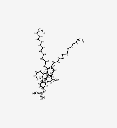 CCCCCCCCCCCCc1cccc(C2CCCCC2(c2ccc(O)cc2)c2ccc(OP(O)O)cc2)c1CCCCCCCCCCCC